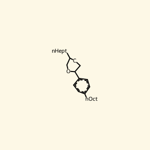 CCCCCCCCc1ccc(C2CCC(CCCCCCC)CO2)cc1